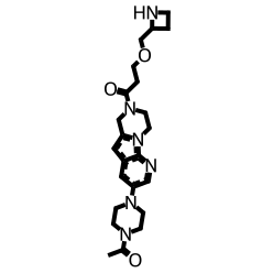 CC(=O)N1CCN(c2cnc3c(c2)cc2n3CCN(C(=O)CCOCC3CCN3)C2)CC1